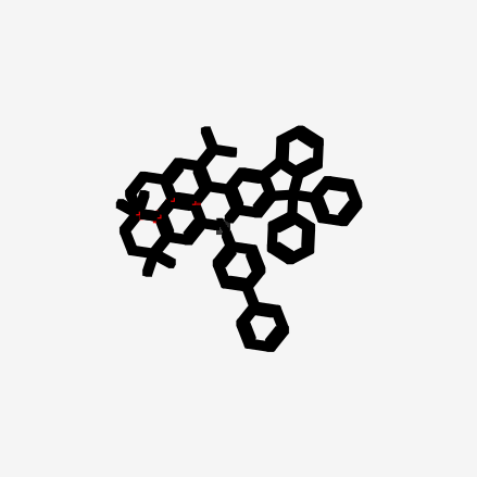 CC(C)c1cc2c(cc1-c1cc3c(cc1N(c1ccc(-c4ccccc4)cc1)c1ccc4c(c1)C(C)(C)CCC4(C)C)C(c1ccccc1)(c1ccccc1)c1ccccc1-3)CCCC2